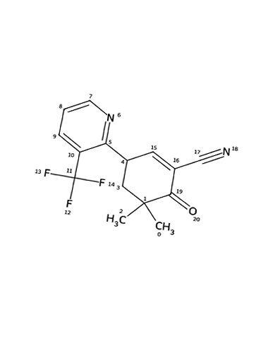 CC1(C)CC(c2ncccc2C(F)(F)F)C=C(C#N)C1=O